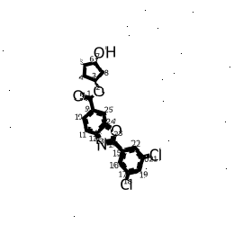 O=C(O[C@H]1CC[C@H](O)C1)c1ccc2nc(-c3cc(Cl)cc(Cl)c3)oc2c1